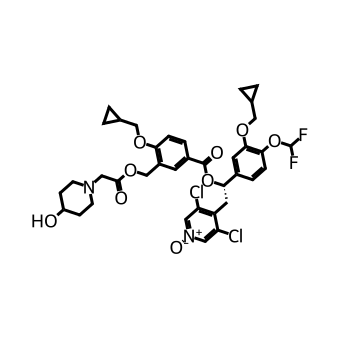 O=C(CN1CCC(O)CC1)OCc1cc(C(=O)O[C@@H](Cc2c(Cl)c[n+]([O-])cc2Cl)c2ccc(OC(F)F)c(OCC3CC3)c2)ccc1OCC1CC1